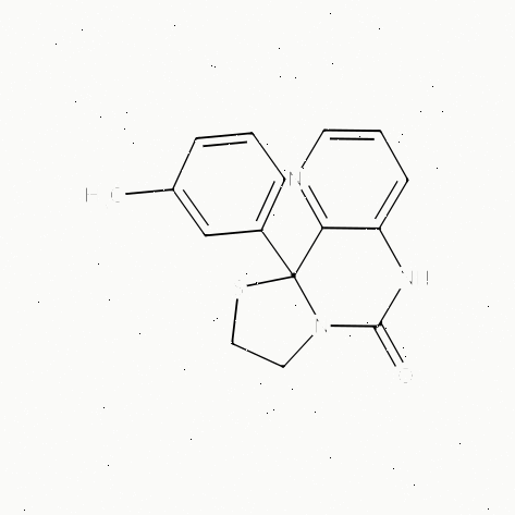 Cc1cccc(C23SCCN2C(=O)Nc2cccnc23)c1